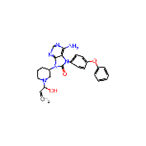 C=CC(O)N1CCCC(n2c(=O)n(-c3ccc(Oc4ccccc4)cc3)c3c(N)ncnc32)C1